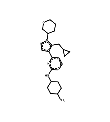 NC1CCC(Nc2nccc(-c3cnn(C4CCCOC4)c3CC3CC3)n2)CC1